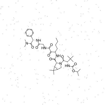 CCCCC(NC(=O)[C@@H]1C2C(CN1C(=O)[C@@H](NC(=O)OC(C)C)C(C)(C)C)C2(C)C)C(=O)C(=O)NCC(=O)N[C@H](C(=O)N(C)C)c1ccccc1